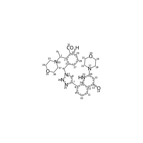 CC(c1c(Cn2cc(-c3cccc4c(=O)cc(N5CCOCC5)[nH]c34)nn2)cccc1C(=O)O)N1CCOCC1